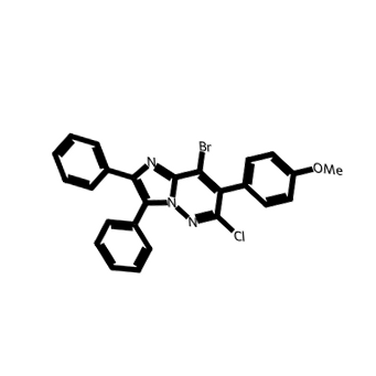 COc1ccc(-c2c(Cl)nn3c(-c4ccccc4)c(-c4ccccc4)nc3c2Br)cc1